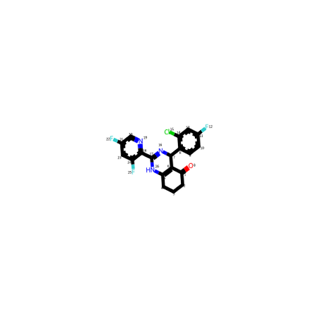 O=C1CCCC2=C1C(c1ccc(F)cc1Cl)N=C(c1ncc(F)cc1F)N2